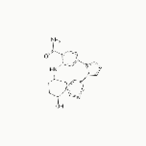 NC(=O)c1ccc(-n2cccc2-c2cccnc2)cc1N[C@H]1CC[C@H](O)CC1